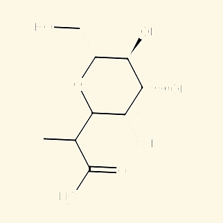 CC(C(=O)O)C1O[C@H](CO)[C@@H](O)[C@H](O)[C@@H]1O